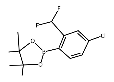 CC1(C)OB(c2ccc(Cl)cc2C(F)F)OC1(C)C